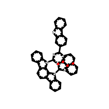 c1ccc(-c2nc(-c3ccc4c(c3)sc3ccccc34)nc(-n3c4ccccc4c4ccc5c6ccccc6n(-c6nc7ccccc7s6)c5c43)n2)cc1